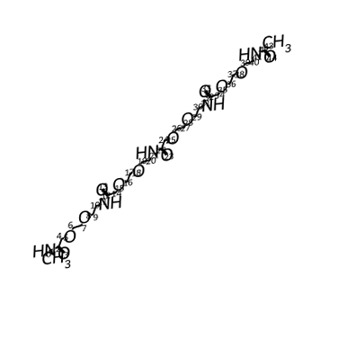 CNC(=O)COCCOCCNC(=O)COCCOCCNC(=O)COCCOCCNC(=O)COCCOCCNC(C)=O